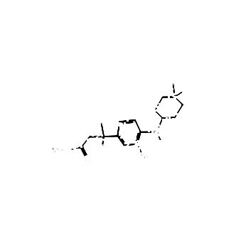 CCN(c1ccc(C(C)(C)CC(=O)OC)cc1[N+](=O)[O-])C1CCC(C)(O)CC1